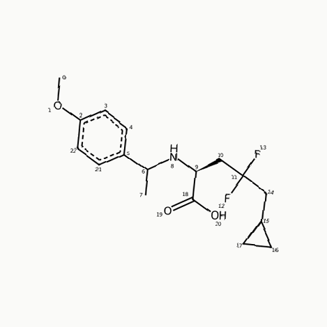 COc1ccc(C(C)N[C@@H](CC(F)(F)CC2CC2)C(=O)O)cc1